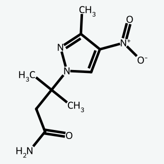 Cc1nn(C(C)(C)CC(N)=O)cc1[N+](=O)[O-]